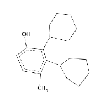 Cc1ccc(O)c(C2CCCCC2)c1C1CCCCC1